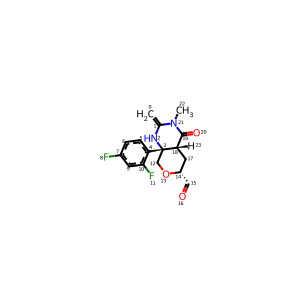 C=C1N[C@@]2(c3ccc(F)cc3F)CO[C@@H](C=O)C[C@H]2C(=O)N1C